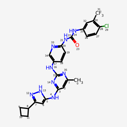 Cc1cc(Nc2cc(C3CCC3)n[nH]2)nc(Nc2ccc(NC(=O)Nc3ccc(Cl)c(C(F)(F)F)c3)nc2)n1